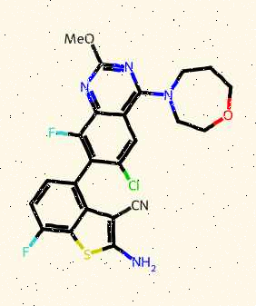 COc1nc(N2CCCOCC2)c2cc(Cl)c(-c3ccc(F)c4sc(N)c(C#N)c34)c(F)c2n1